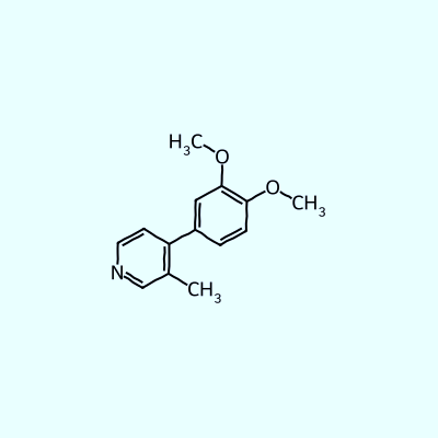 COc1ccc(-c2ccncc2C)cc1OC